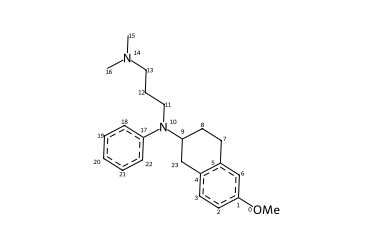 COc1ccc2c(c1)CCC(N(CCCN(C)C)c1ccccc1)C2